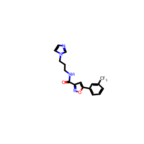 O=C(NCCCn1ccnc1)c1cc(-c2cccc(C(F)(F)F)c2)on1